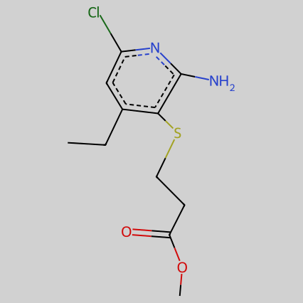 CCc1cc(Cl)nc(N)c1SCCC(=O)OC